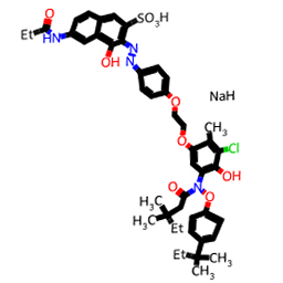 CCC(=O)Nc1ccc2cc(S(=O)(=O)O)c(N=Nc3ccc(OCCOc4cc(N(Oc5ccc(C(C)(C)CC)cc5)C(=O)CC(C)(C)CC)c(O)c(Cl)c4C)cc3)c(O)c2c1.[NaH]